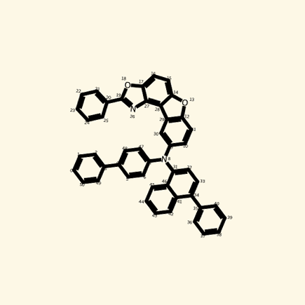 c1ccc(-c2ccc(N(c3ccc4oc5ccc6oc(-c7ccccc7)nc6c5c4c3)c3ccc(-c4ccccc4)c4ccccc34)cc2)cc1